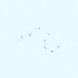 CC/C=C\C/C=C\C/C=C\C/C=C\C/C=C\CCCC(=O)C(C)COC(=O)[C@@H](N)CC(=O)C(C)CC